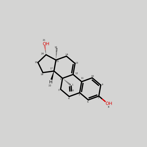 C=C[C@@]12CCc3cc(O)ccc3C1=CC[C@@]1(C)[C@H]2CC[C@@H]1O